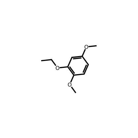 CCOc1cc(OC)ccc1OC